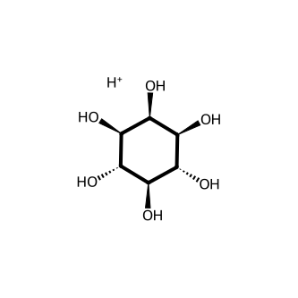 O[C@H]1[C@H](O)[C@@H](O)[C@H](O)[C@@H](O)[C@H]1O.[H+]